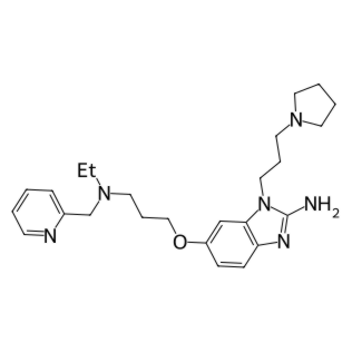 CCN(CCCOc1ccc2nc(N)n(CCCN3CCCC3)c2c1)Cc1ccccn1